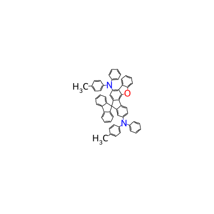 Cc1ccc(N(c2ccccc2)c2ccc3c(c2)C2(c4ccccc4-c4ccccc42)c2cc(N(c4ccccc4)c4ccc(C)cc4)c4c(oc5ccccc54)c2-3)cc1